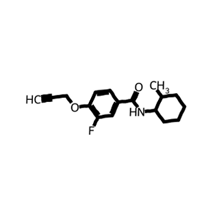 C#CCOc1ccc(C(=O)NC2CCCCC2C)cc1F